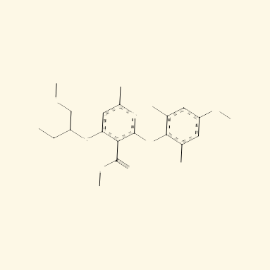 CCC(CSC)Nc1cc(C)nc(Oc2c(C)cc(OC)cc2C)c1C(=O)OC